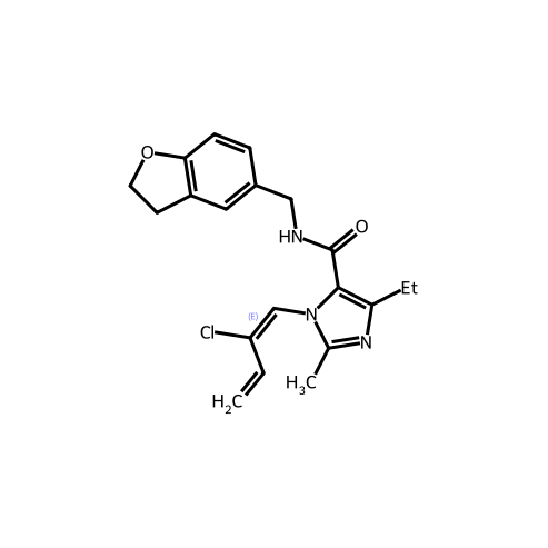 C=C/C(Cl)=C\n1c(C)nc(CC)c1C(=O)NCc1ccc2c(c1)CCO2